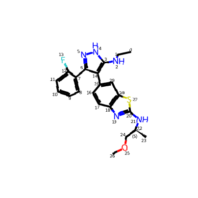 CCNc1[nH]nc(-c2ccccc2F)c1-c1ccc2nc(N[C@@H](C)COC)sc2c1